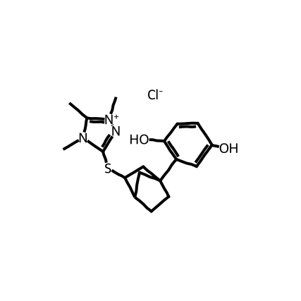 Cc1n(C)c(SC2CC3(c4cc(O)ccc4O)CCC2C3)n[n+]1C.[Cl-]